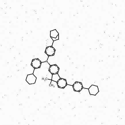 CC1(C)c2ccc(-c3ccc(C4CCCCC4)cc3)cc2-c2ccc(N(c3ccc(C4CC5CCC4C5)cc3)c3cccc(C4CCCCC4)c3)cc21